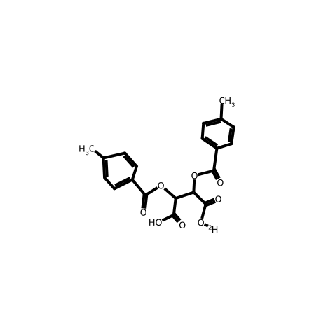 [2H]OC(=O)C(OC(=O)c1ccc(C)cc1)C(OC(=O)c1ccc(C)cc1)C(=O)O